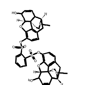 CN1CC[C@]23c4c5ccc(OS(=O)(=O)c6ccccc6S(=O)(=O)Oc6ccc7c8c6O[C@H]6C(O)C=CC9[C@@H](C7)N(C)CC[C@@]896)c4O[C@H]2C(O)C=CC3[C@H]1C5